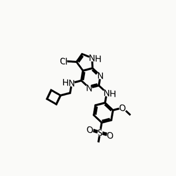 COc1cc(S(C)(=O)=O)ccc1Nc1nc(NCC2CCC2)c2c(Cl)c[nH]c2n1